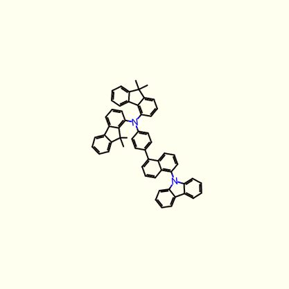 CC1(C)c2ccccc2-c2c(N(c3ccc(-c4cccc5c(-n6c7ccccc7c7ccccc76)cccc45)cc3)c3cccc4c3C(C)(C)c3ccccc3-4)cccc21